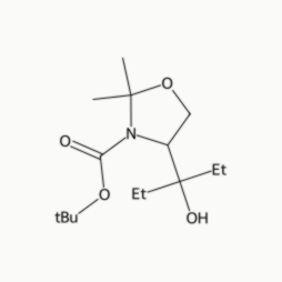 CCC(O)(CC)C1COC(C)(C)N1C(=O)OC(C)(C)C